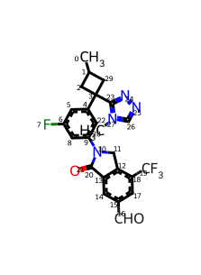 CC1CC(c2cc(F)cc(N3Cc4c(cc(C=O)cc4C(F)(F)F)C3=O)c2)(c2nncn2C)C1